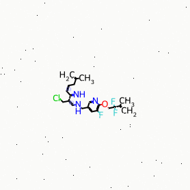 C=C(C)C/C=C\C(=N)/C(=C\NCc1cnc(OCC(F)(F)C(=C)C)c(F)c1)CCl